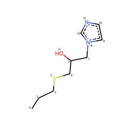 CCCSCC(O)Cn1ccnc1